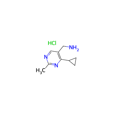 Cc1ncc(CN)c(C2CC2)n1.Cl